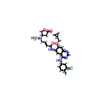 CN(C/C=C/C(=O)Nc1cc2c(Nc3ccc(F)c(Cl)c3)ncnc2cc1OCC1CC1)C1COC(=O)C1